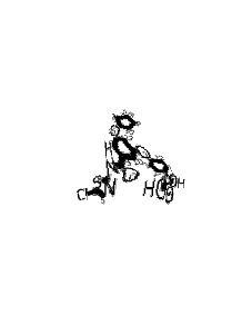 O=C(Nc1ncc(Cl)s1)c1cc(Oc2ccc(P(=O)(O)O)cc2)cc(OC2CCCC2)c1